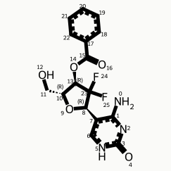 Nc1nc(=O)[nH]cc1[C@H]1O[C@H](CO)[C@@H](OC(=O)c2ccccc2)C1(F)F